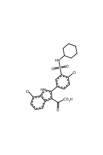 O=C(O)C(=O)c1c(-c2ccc(Cl)c(S(=O)(=O)NC3CCCCC3)c2)[nH]c2c(Cl)cccc12